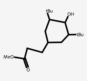 COC(=O)CCC1CC(C(C)(C)C)C(O)C(C(C)(C)C)C1